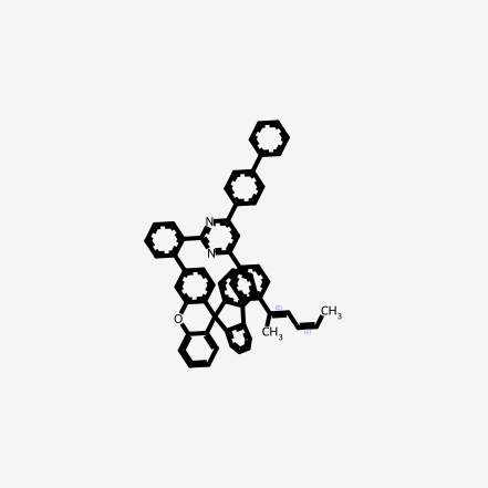 C/C=C\C=C(/C)c1ccc(-c2cc(-c3ccc(-c4ccccc4)cc3)nc(-c3ccccc3-c3ccc4c(c3)OC3=C=C=CC=C3C43c4ccccc4-c4ccccc43)n2)cc1